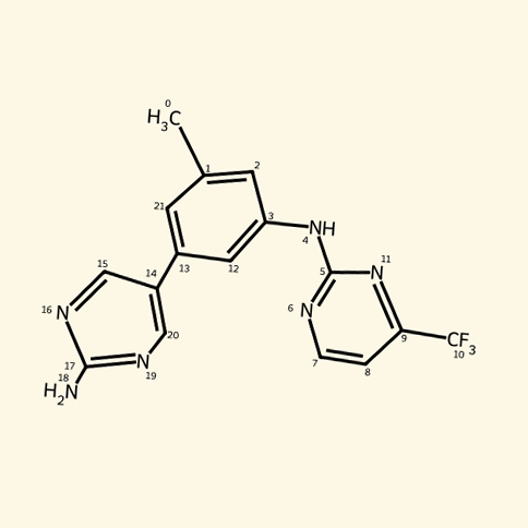 Cc1cc(Nc2nccc(C(F)(F)F)n2)cc(-c2cnc(N)nc2)c1